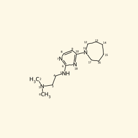 CN(C)CCNc1nccc(N2CCCCCC2)n1